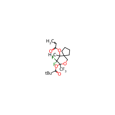 C=CC(=O)OC1(C)C2(CCCC2)COC(OC(=O)C(C)(C)C)(C(F)(F)F)C1(F)F